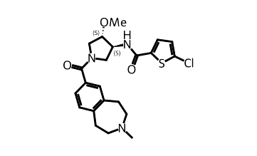 CO[C@H]1CN(C(=O)c2ccc3c(c2)CCN(C)CC3)C[C@@H]1NC(=O)c1ccc(Cl)s1